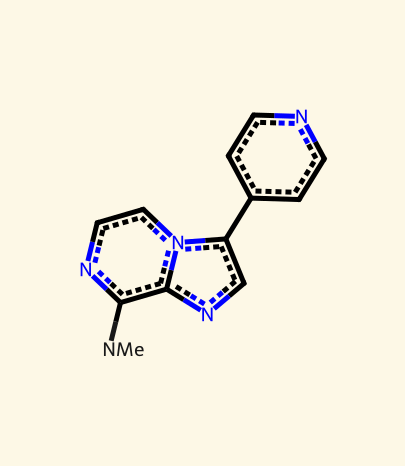 CNc1nccn2c(-c3ccncc3)cnc12